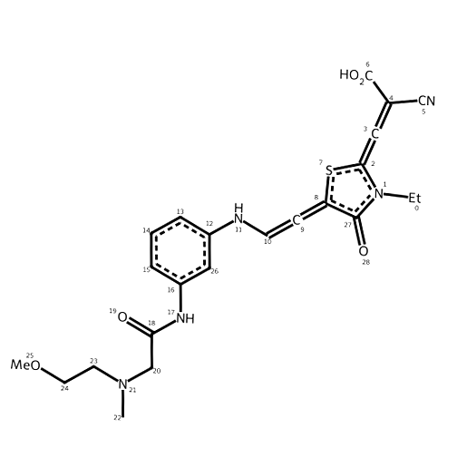 CCn1c(=C=C(C#N)C(=O)O)sc(=C=CNc2cccc(NC(=O)CN(C)CCOC)c2)c1=O